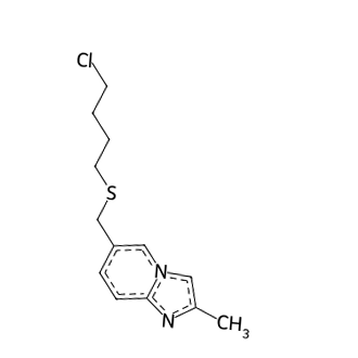 Cc1cn2cc(CSCCCCCl)ccc2n1